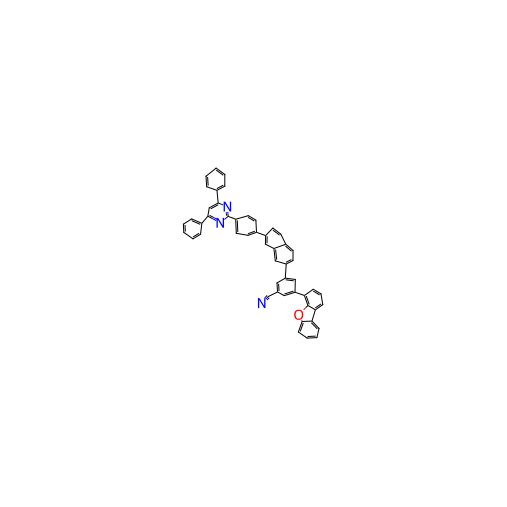 N#Cc1cc(-c2ccc3ccc(-c4ccc(-c5nc(-c6ccccc6)cc(-c6ccccc6)n5)cc4)cc3c2)cc(-c2cccc3c2oc2ccccc23)c1